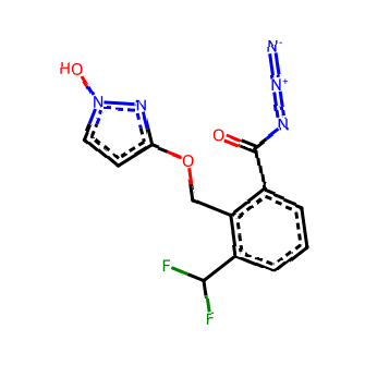 [N-]=[N+]=NC(=O)c1cccc(C(F)F)c1COc1ccn(O)n1